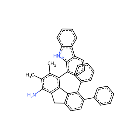 Cc1c(C)c(-c2cccc3c2[nH]c2ccccc23)c2c(c1N)Cc1ccc(-c3ccccc3)c(-c3ccccc3)c1-2